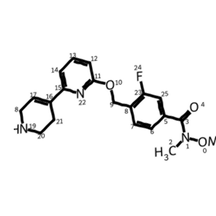 CON(C)C(=O)c1ccc(COc2cccc(C3=CCNCC3)n2)c(F)c1